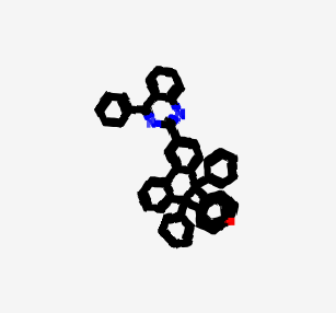 c1ccc(-c2nc(-c3ccc4c(c3)-c3ccccc3C(c3ccccc3)(c3ccccc3)C4(c3ccccc3)c3ccccc3)nc3ccccc23)cc1